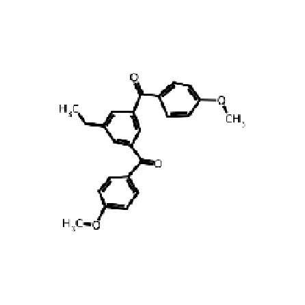 CCc1cc(C(=O)c2ccc(OC)cc2)cc(C(=O)c2ccc(OC)cc2)c1